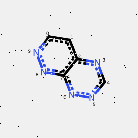 [c]1cc2ncnnc2nn1